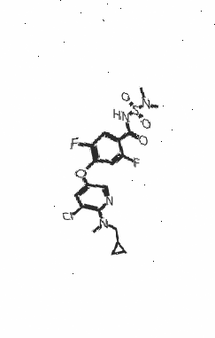 CN(CC1CC1)c1ncc(Oc2cc(F)c(C(=O)NS(=O)(=O)N(C)C)cc2F)cc1Cl